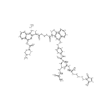 CN1CCN(C(=O)Oc2cc3c(c4ccccc24)[C@H](CCl)CN3C(=O)CCCC(=O)N2CCc3c2cc(OCc2ccc(NC(=O)[C@H](CCCNC(N)=O)NC(=O)CNC(=O)CCCCCN4C(=O)C=CC4=O)cc2)c2ccccc32)CC1